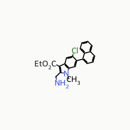 CCOC(=O)c1c(CN)n(C)c2cc(-c3cccc4ccccc34)c(Cl)cc12